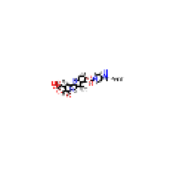 CCCCCNC1CCN(C(=O)Oc2ccc3nc4c(c(CC)c3c2)Cn2c-4cc3c(c2=O)COC(=O)[C@]3(O)CC)CC1